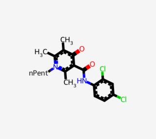 CCCCCn1c(C)c(C)c(=O)c(C(=O)Nc2ccc(Cl)cc2Cl)c1C